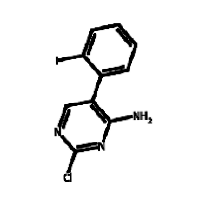 Nc1nc(Cl)ncc1-c1ccccc1I